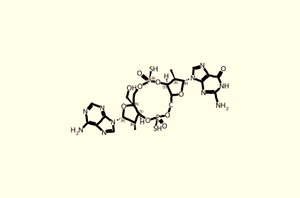 C[C@@H]1[C@@H]2O[P@](=O)(S)OC[C@@]3(CO)O[C@@H](n4cnc5c(N)ncnc54)[C@H](C)[C@@H]3O[P@](=O)(S)OCC2O[C@H]1n1cnc2c(=O)[nH]c(N)nc21